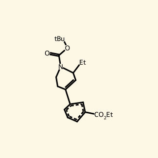 CCOC(=O)c1cccc(C2=CC(CC)N(C(=O)OC(C)(C)C)CC2)c1